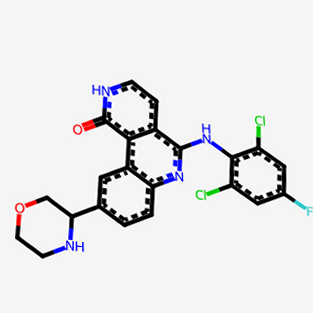 O=c1[nH]ccc2c(Nc3c(Cl)cc(F)cc3Cl)nc3ccc(C4COCCN4)cc3c12